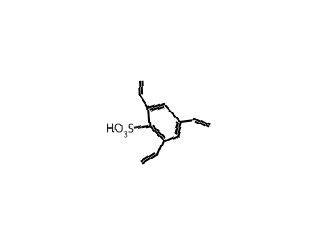 C=Cc1cc(C=C)c(S(=O)(=O)O)c(C=C)c1